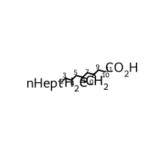 C=C.CCCCCCCCCCCCCCCC(=O)O